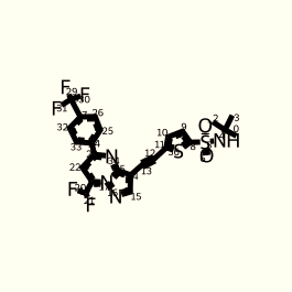 CC(C)(C)NS(=O)(=O)c1ccc(C#Cc2cnn3c(C(F)F)cc(-c4ccc(C(F)(F)F)cc4)nc23)s1